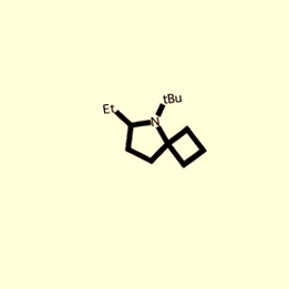 CCC1CCC2(CCC2)N1C(C)(C)C